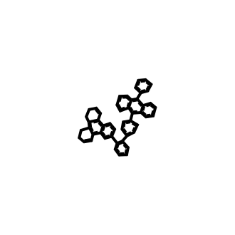 C1=Cc2c(c3c(c4cc(-c5ccccc5-c5ccc(-c6c7ccccc7c(-c7ccccc7)c7ccccc67)cc5)ccc24)C=CCC3)CC1